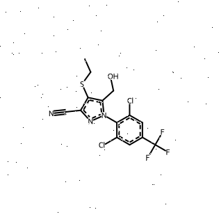 CCSc1c(C#N)nn(-c2c(Cl)cc(C(F)(F)F)cc2Cl)c1CO